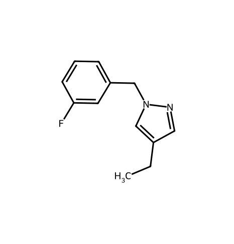 CCc1cnn(Cc2cccc(F)c2)c1